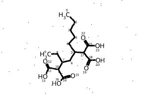 CCCCCC(CC(CC)C(C(=O)O)C(=O)O)C(C(=O)O)C(=O)O